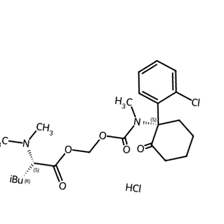 CC[C@@H](C)[C@@H](C(=O)OCOC(=O)N(C)[C@]1(c2ccccc2Cl)CCCCC1=O)N(C)C.Cl